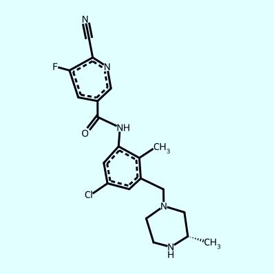 Cc1c(CN2CCN[C@@H](C)C2)cc(Cl)cc1NC(=O)c1cnc(C#N)c(F)c1